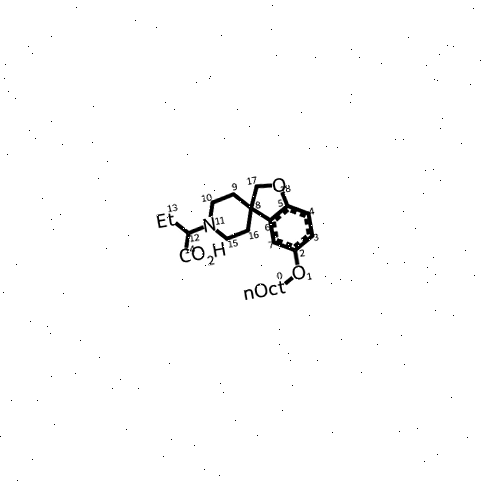 CCCCCCCCOc1ccc2c(c1)C1(CCN(C(CC)C(=O)O)CC1)CO2